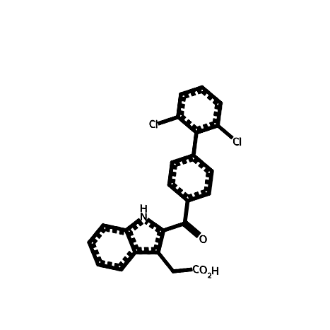 O=C(O)Cc1c(C(=O)c2ccc(-c3c(Cl)cccc3Cl)cc2)[nH]c2ccccc12